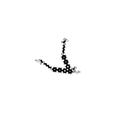 C=CC(=O)OCCCCCCOc1ccc(-c2ccc(C3CCC(c4ccc(C(=O)OCC)c(OC(=O)CC)c4C4CCC(c5ccc(-c6ccc(OCCCCCCOC(=O)C=C)cc6)cc5)CC4)CC3)cc2)cc1